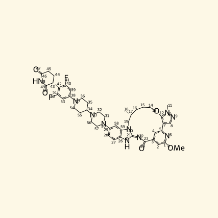 COc1cc2cc(n1)-c1cnn(C)c1OCCC[C@@H](C)CN1/C(=N/C2=O)Nc2ccc(N3CCN(C4CCN(c5cc(F)c([C@H]6CCC(=O)NC6=O)c(F)c5)CC4)CC3)cc21